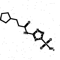 NS(=O)(=O)c1nnc(NC(=O)CCC2CCCC2)s1